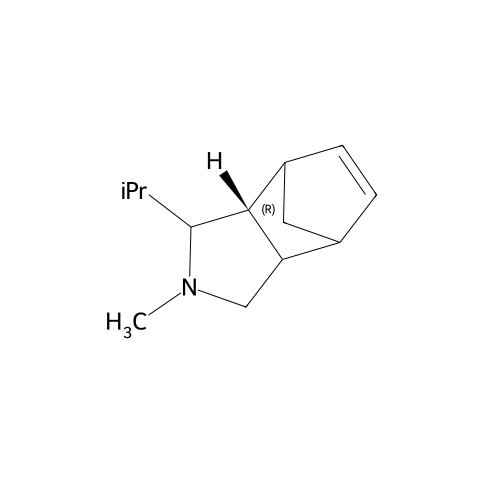 CC(C)C1[C@@H]2C3C=CC(C3)C2CN1C